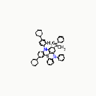 C[Si](C)(c1ccccc1)c1cc2c3c(c1)N(c1ccc(C4CCCCC4)cc1)c1ccc(C4CCCCC4)cc1B3c1ccccc1N2c1ccccc1